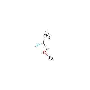 [CH2]C(F)COCC